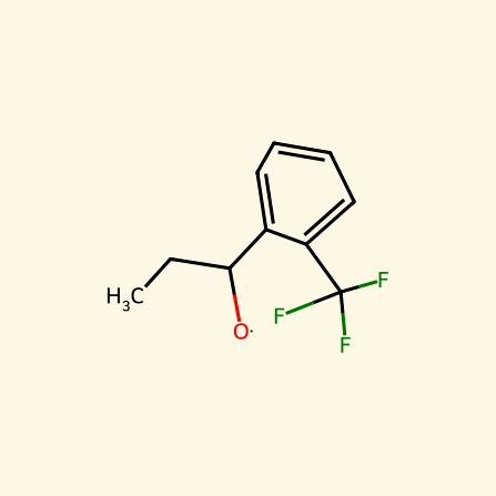 CCC([O])c1ccccc1C(F)(F)F